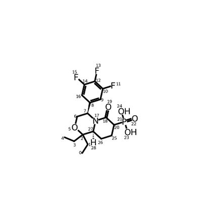 CCC1(CC)OC[C@@H](c2cc(F)c(F)c(F)c2)N2C(=O)C(P(=O)(O)O)CC[C@H]21